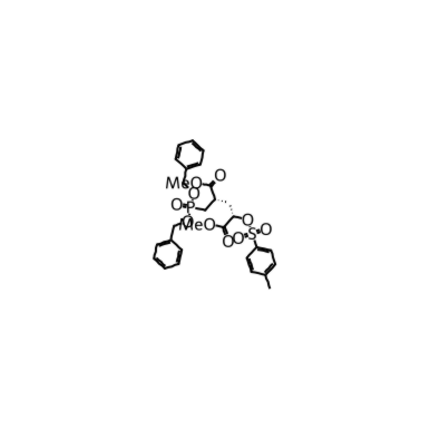 COC(=O)[C@H](C[C@H](OS(=O)(=O)c1ccc(C)cc1)C(=O)OC)CP(=O)(OCc1ccccc1)OCc1ccccc1